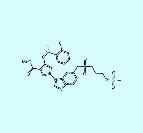 COC(=O)c1sc(-n2cnc3ccc(CS(=O)(=O)CCCOS(C)(=O)=O)cc32)cc1O[C@H](C)c1ccccc1Cl